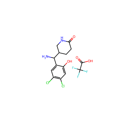 NC(c1cc(Cl)c(Cl)cc1O)C1CCC(=O)NC1.O=C(O)C(F)(F)F